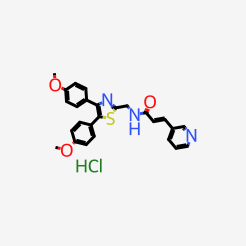 COc1ccc(-c2nc(CNC(=O)C=Cc3cccnc3)sc2-c2ccc(OC)cc2)cc1.Cl